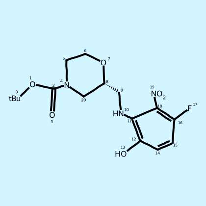 CC(C)(C)OC(=O)N1CCO[C@H](CNc2c(O)ccc(F)c2[N+](=O)[O-])C1